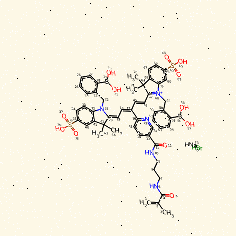 Br.C=C(C)C(=O)NCCCNC(=O)c1ccc(C(=C\C=C2/N(Cc3ccccc3B(O)O)c3ccc(S(=O)(=O)O)cc3C2(C)C)/C=C/C2=[N+](Cc3ccccc3B(O)O)c3cc(S(=O)(=O)O)ccc3C2(C)C)nc1.[NaH]